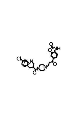 NCC(Cc1ccc(Cl)cc1)C(=O)N1CCN(CCC(=O)c2ccc3[nH]c(=O)oc3c2)CC1